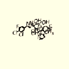 CO[C@@H]1[C@@H](n2cc(-c3cc(F)c(Cl)c(Cl)c3)nn2)[C@@H](O)[C@@H](CO)O[C@H]1S[C@H](c1ncccc1C)C1(O)CCC(F)(F)CC1